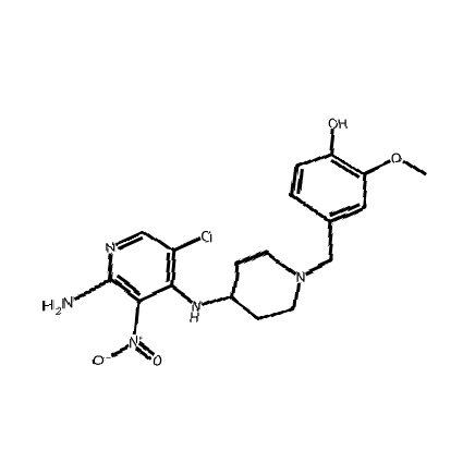 COc1cc(CN2CCC(Nc3c(Cl)cnc(N)c3[N+](=O)[O-])CC2)ccc1O